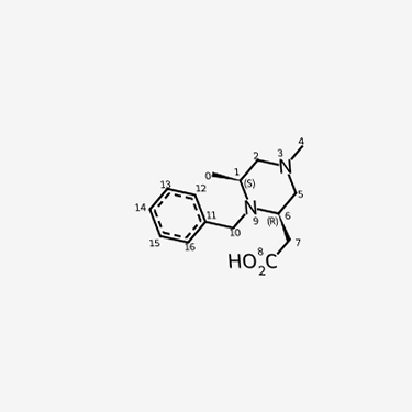 C[C@H]1CN(C)C[C@@H](CC(=O)O)N1Cc1ccccc1